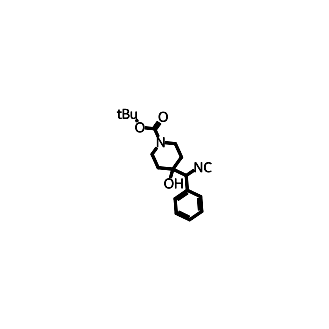 [C-]#[N+]C(c1ccccc1)C1(O)CCN(C(=O)OC(C)(C)C)CC1